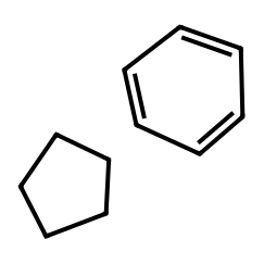 C1CCCC1.c1ccccc1